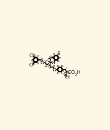 CCOC(Cc1ccc(OCCN(CCOCc2cc(Cl)cc(Cl)c2)C(=O)Oc2ccc(F)cc2F)cc1)C(=O)O